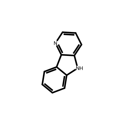 c1ccc2c(c1)[nH]c1cccnc12